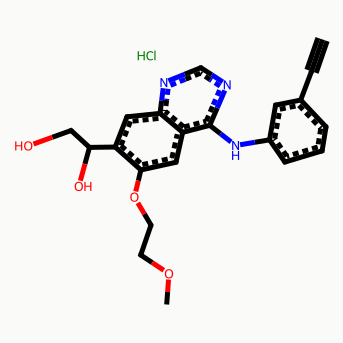 C#Cc1cccc(Nc2ncnc3cc(C(O)CO)c(OCCOC)cc23)c1.Cl